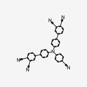 N#Cc1ccc(N(c2ccc(-c3ccc(C#N)c(C#N)c3)cc2)c2ccc(-c3ccc(C#N)c(C#N)c3)cc2)cc1